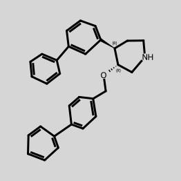 c1ccc(-c2ccc(CO[C@H]3CNCC[C@@H]3c3cccc(-c4ccccc4)c3)cc2)cc1